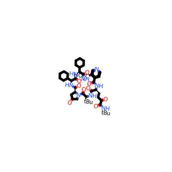 CC(C)(C)NC(=O)C(=O)CC[C@H](NC(=O)c1ccncc1C(=O)O)C(=O)N[C@H](C(=O)N1CC(=O)C[C@H]1C(=O)N[C@H](C(=O)N[C@H](C(N)=O)C1CCCCC1)C1CCCCC1)C(C)(C)C